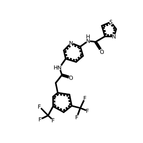 O=C(Cc1cc(C(F)(F)F)cc(C(F)(F)F)c1)Nc1ccc(NC(=O)c2cscn2)nc1